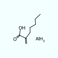 C=C(CCCCC)C(=O)O.[AlH3]